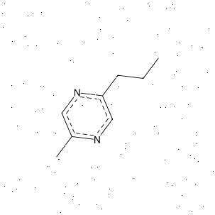 CCCc1cnc(C)cn1